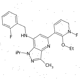 CCOC1=C(c2cc(NCc3ccccc3F)c3c(n2)c(C)nn3C(C)C)C=CCN1F